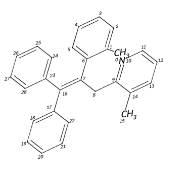 Cc1ccccc1C(Cc1ncccc1C)=C(c1ccccc1)c1ccccc1